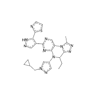 CCC1c2nnc(C)n2-c2cnc(-c3cn[nH]c3-c3nccs3)nc2N1c1cnn(CC2CC2)c1